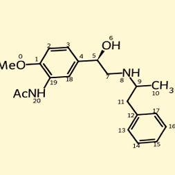 COc1ccc([C@@H](O)CNC(C)Cc2ccccc2)cc1NC(C)=O